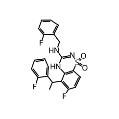 CC(c1ccccc1F)c1c(F)ccc2c1NC(NCc1ccccc1F)=NS2(=O)=O